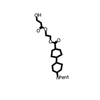 CCCCCC1CCC(C2CCC(C(=O)OCCOC(=O)CCO)CC2)CC1